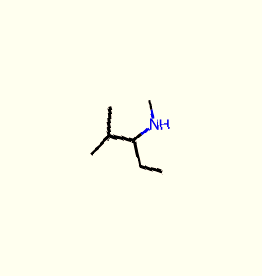 CCC(NC)[C](C)C